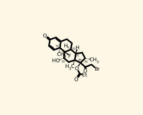 CCC(=O)O[C@]1(C(=O)CBr)[C@@H](C)C[C@H]2[C@@H]3CCC4=CC(=O)C=C[C@]4(C)[C@@]3(F)[C@@H](O)C[C@@]21C